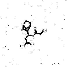 O=C(O)CC(OC(=O)CS)C1CC2CCC1C2